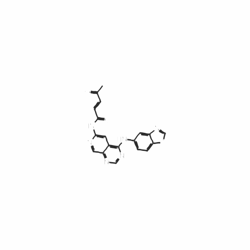 CC(=O)C=CC(=O)Nc1cc2c(Nc3ccc4scnc4c3)ncnc2cn1